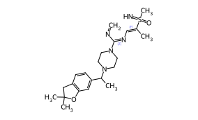 C=N/C(=N\C=C(/C)S(C)(=N)=O)N1CCN(C(C)c2ccc3c(c2)OC(C)(C)C3)CC1